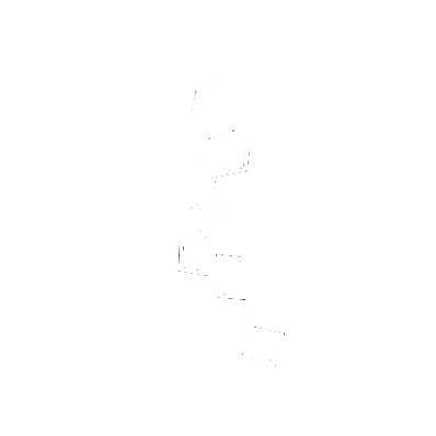 O=S(=O)(c1cccc(OC(F)F)c1)n1cc(Cl)c2cc(C3CNC3)ccc21